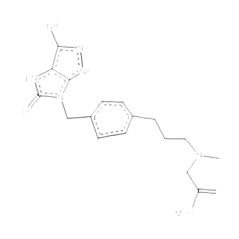 COC(=O)CN(C)CCCc1ccc(Cn2c(=O)[nH]c3c(N)n[nH]c32)cc1